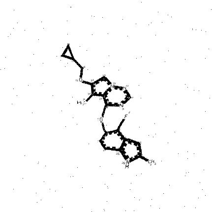 Cc1cc2c(F)c(Oc3ncnn4cc(OCC5CC5)c(C)c34)ccc2[nH]1